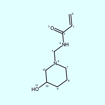 C=CC(=O)NCN1CCCC(O)C1